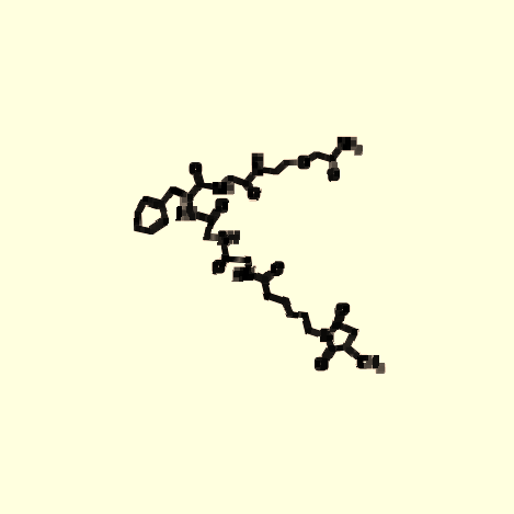 CC1CC(=O)N(CCCCCC(=O)NCC(=O)NCC(=O)N[C@@H](Cc2ccccc2)C(=O)NCC(=O)NCCOCC(N)=O)C1=O